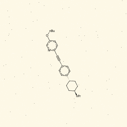 CCCCOc1ccc(C#Cc2ccc([C@H]3CC[C@H](CCC)CC3)cc2)nc1